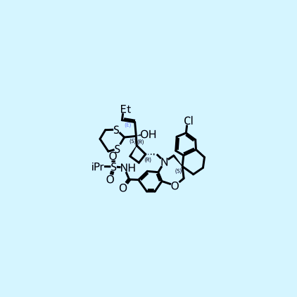 CC/C=C/[C@](O)(C1SCCCS1)[C@@H]1CC[C@H]1CN1C[C@@]2(CCCc3cc(Cl)ccc32)COc2ccc(C(=O)NS(=O)(=O)C(C)C)cc21